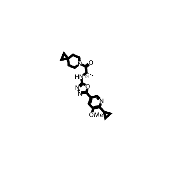 COc1cc(-c2nnc(N[C@@H](C)C(=O)N3CCC4(CC3)CC4)o2)cnc1C1CC1